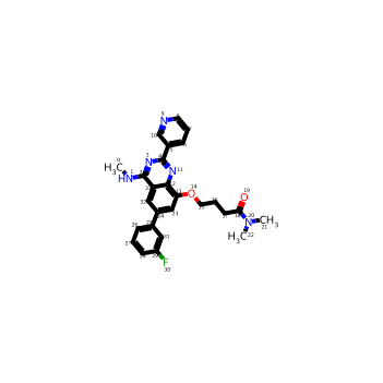 CNc1nc(-c2cccnc2)nc2c(OCCCC(=O)N(C)C)cc(-c3cccc(F)c3)cc12